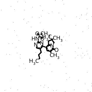 CCCCc1cnc(NS(C)(=O)=O)nc1-c1cc(C)c(=O)n2c1CC(C)(C)C2